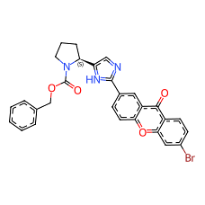 O=C(OCc1ccccc1)N1CCC[C@H]1c1cnc(-c2ccc3oc4cc(Br)ccc4c(=O)c3c2)[nH]1